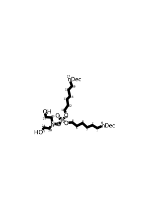 CCCCCCCCCCCCCCCCOP(=O)(OCCCCCCCCCCCCCCCC)ON(CCO)CCO